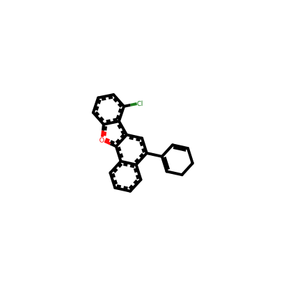 Clc1cccc2oc3c4ccccc4c(C4=CCCC=C4)cc3c12